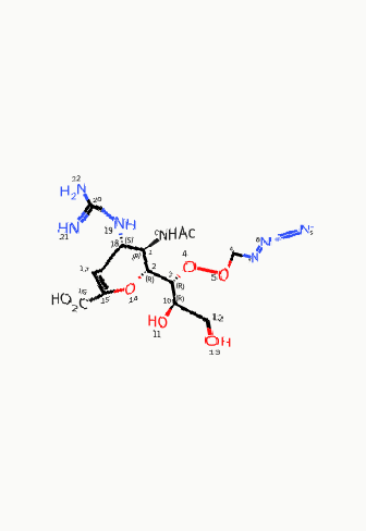 CC(=O)N[C@H]1[C@H]([C@H](OOCN=[N+]=[N-])[C@H](O)CO)OC(C(=O)O)=C[C@@H]1NC(=N)N